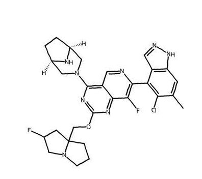 Cc1cc2[nH]ncc2c(-c2ncc3c(N4C[C@H]5CC[C@@H](C4)N5)nc(OCC45CCCN4CC(F)C5)nc3c2F)c1Cl